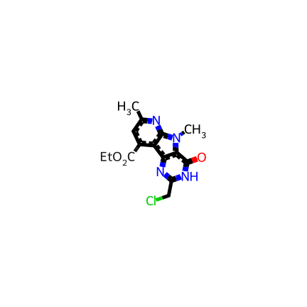 CCOC(=O)c1cc(C)nc2c1c1nc(CCl)[nH]c(=O)c1n2C